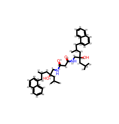 CC(C)CC(O)(CNC(=O)CC(=O)NCC(O)(CC(C)C)CC(C)Cc1cccc2ccccc12)CC(C)Cc1cccc2ccccc12